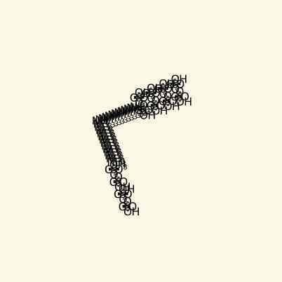 N.N.N.N.N.N.N.N.N.N.N.N.N.N.N.N.N.N.N.N.N.N.N.N.N.N.O=S(=O)(O)OOS(=O)(=O)O.O=S(=O)(O)OOS(=O)(=O)O.O=S(=O)(O)OOS(=O)(=O)O.O=S(=O)(O)OOS(=O)(=O)O.O=S(=O)(O)OOS(=O)(=O)O.O=S(=O)(O)OOS(=O)(=O)O